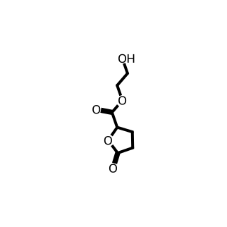 O=C1CCC(C(=O)OCCO)O1